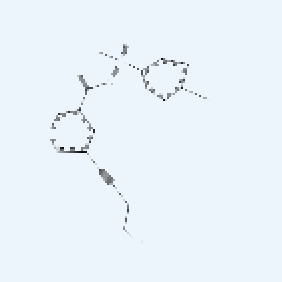 CC(=O)Nc1ccc(S(C)(=O)=NC(=O)c2cncc(C#CCCO)c2)cc1